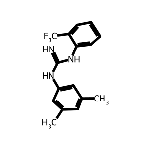 Cc1cc(C)cc(NC(=N)Nc2ccccc2C(F)(F)F)c1